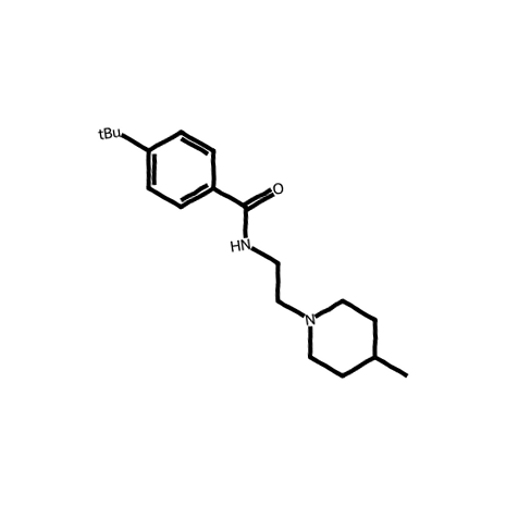 CC1CCN(CCNC(=O)c2ccc(C(C)(C)C)cc2)CC1